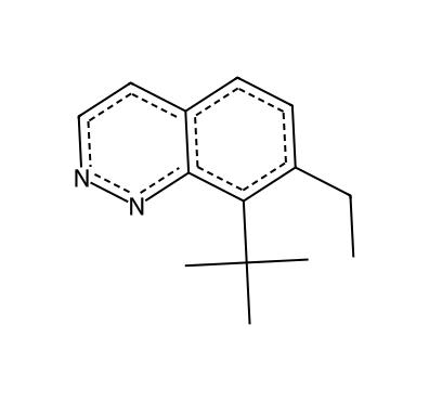 CCc1ccc2ccnnc2c1C(C)(C)C